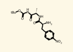 C[C@H](NC(=O)[C@@H](N)Cc1ccc([N+](=O)[O-])cc1)C(=O)NC(=O)OC(C)(C)C